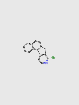 Brc1nccc2c1Cc1ccc3ccccc3c1-2